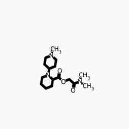 CN1CCC(N2CCCCC2C(=O)OCC(=O)N(C)C)CC1